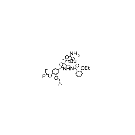 CCOc1ccccc1C(=O)NCc1nc(-c2ccc(OC(F)F)c(OCC3CC3)c2)oc1C(C)(OC(N)=O)C(C)(C)C